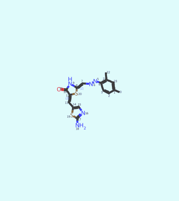 Cc1ccc(N=N/C=c2/[nH]c(=O)/c(=C/c3cnc(N)s3)s2)c(C)c1